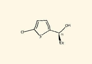 CC[C@H](O)c1ccc(Cl)s1